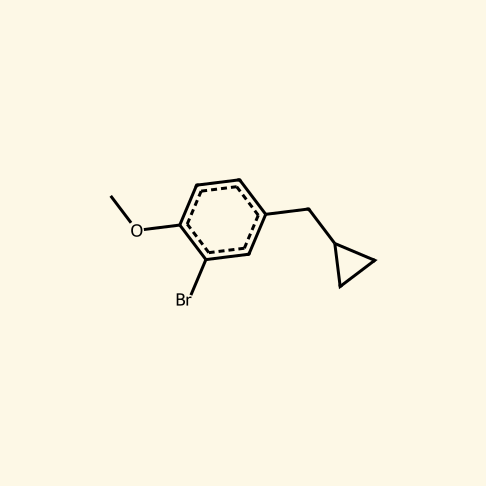 COc1ccc(CC2CC2)cc1Br